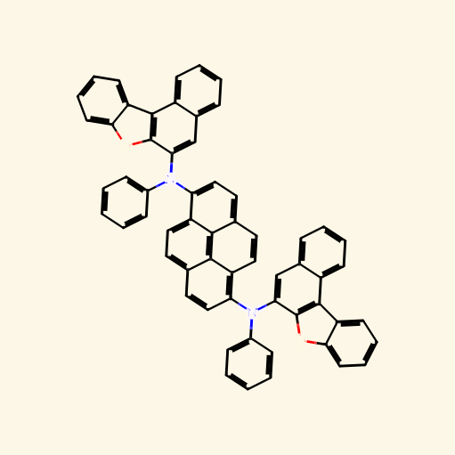 c1ccc(N(c2ccc3ccc4c(N(c5ccccc5)c5cc6ccccc6c6c5oc5ccccc56)ccc5ccc2c3c54)c2cc3ccccc3c3c2oc2ccccc23)cc1